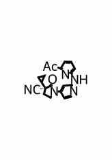 CC(=O)c1cccc(Nc2cc(N3CC[C@@](C#N)(C4CC4)C3=O)ccn2)n1